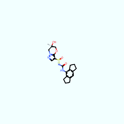 C[C@]1(O)COc2c([SH](=O)=NC(=O)Nc3c4c(cc5c3CCC5)CCC4)cnn2C1